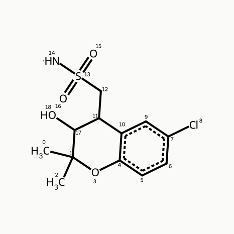 CC1(C)Oc2ccc(Cl)cc2C(CS([NH])(=O)=O)C1O